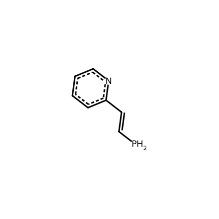 PC=Cc1ccccn1